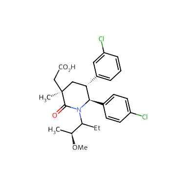 CCC([C@H](C)OC)N1C(=O)[C@@](C)(CC(=O)O)C[C@H](c2cccc(Cl)c2)[C@H]1c1ccc(Cl)cc1